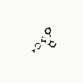 O=C(O)N1CCN(c2nsnc2Nc2cccnc2OCc2ccccc2)CC1